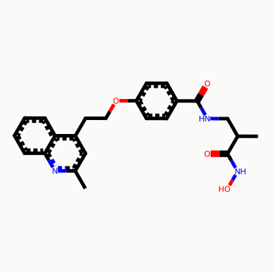 Cc1cc(CCOc2ccc(C(=O)NCC(C)C(=O)NO)cc2)c2ccccc2n1